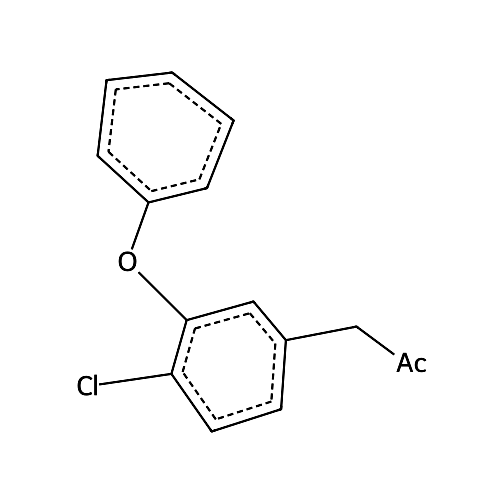 CC(=O)Cc1ccc(Cl)c(Oc2ccccc2)c1